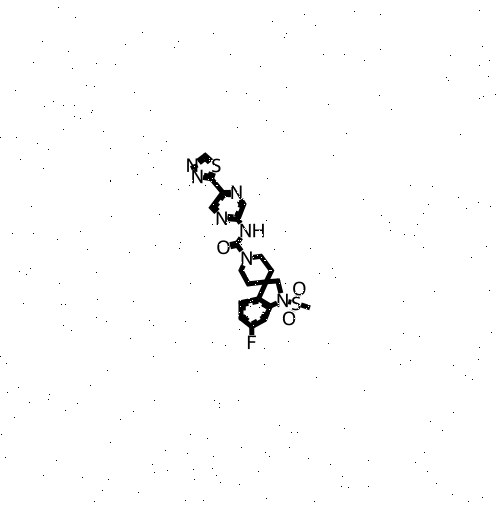 CS(=O)(=O)N1CC2(CCN(C(=O)Nc3cnc(-c4nncs4)cn3)CC2)c2ccc(F)cc21